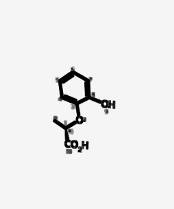 C[C@@H](Oc1ccccc1O)C(=O)O